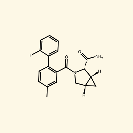 Cc1ccc(-c2ccccc2F)c(C(=O)N2C[C@H]3C[C@H]3[C@H]2C(N)=O)c1